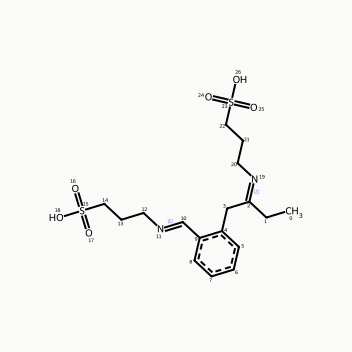 CC/C(Cc1ccccc1/C=N/CCCS(=O)(=O)O)=N/CCCS(=O)(=O)O